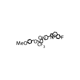 COc1ccc(COCC(OC(=O)N2CCC(c3cc4n(n3)-c3ccc(F)cc3CC4)CC2)C(F)(F)F)cc1